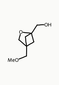 COCC12COC(CO)(C1)C2